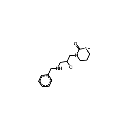 O=C1NCCCN1CC(O)CNCc1ccccc1